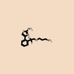 NCCCOCC(F)(F)c1ccccc1-c1csc(N)n1